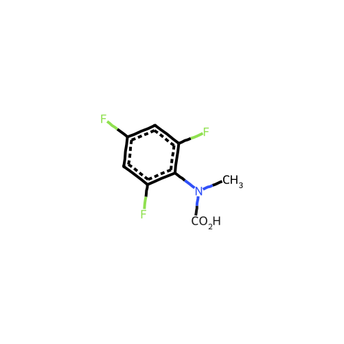 CN(C(=O)O)c1c(F)cc(F)cc1F